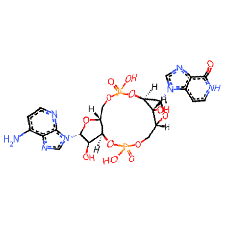 Nc1ccnc2c1ncn2[C@@H]1O[C@@H]2COP(=O)(O)O[C@@H]3[C@H](O)[C@@H](COP(=O)(O)O[C@H]2[C@H]1O)O[C@H]3n1cnc2c(=O)[nH]ccc21